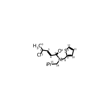 CC(Cl)/C=C/C(=O)N(Cc1cccs1)CC(C)C